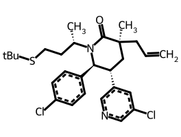 C=CC[C@@]1(C)C[C@H](c2cncc(Cl)c2)[C@@H](c2ccc(Cl)cc2)N([C@@H](C)CCSC(C)(C)C)C1=O